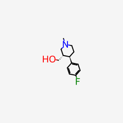 CN1CC[C@@H](c2ccc(F)cc2)[C@H](CO)C1